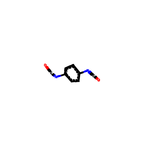 O=C=Nc1[c]cc(N=C=O)cc1